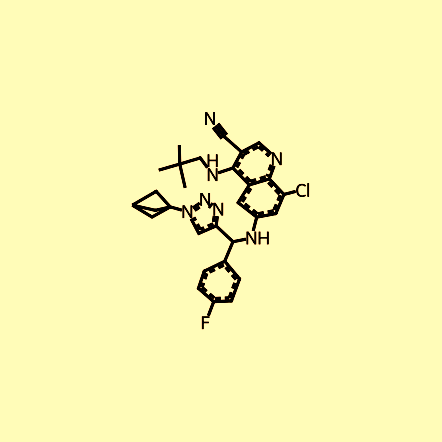 CC(C)(C)CNc1c(C#N)cnc2c(Cl)cc(NC(c3ccc(F)cc3)c3cn(C45CC(C4)C5)nn3)cc12